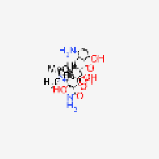 CO[C@@H]1[C@H]2[C@H](N(C)C)C(O)=C(C(N)=O)C(=O)[C@@]2(O)C(O)=C2C(=O)c3c(O)ccc(N)c3C[C@H]21